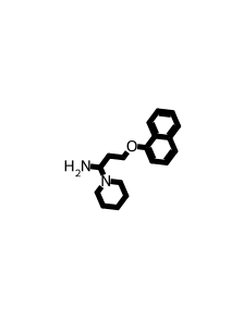 NC(CCOc1cccc2ccccc12)N1CCCCC1